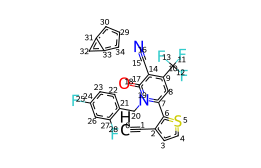 C#Cc1ccsc1-c1cc(C(F)(F)F)c(C#N)c(=O)n1Cc1ccc(F)cc1F.c1cc2cc-2c1